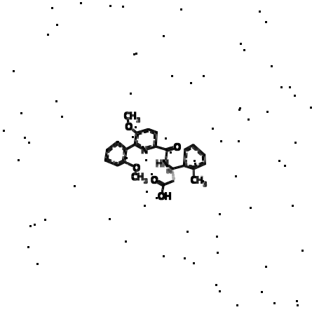 COc1ccccc1-c1nc(C(=O)N[C@@H](CC(=O)O)c2ccccc2C)ccc1OC